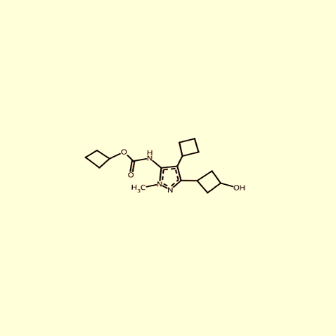 Cn1nc(C2CC(O)C2)c(C2CCC2)c1NC(=O)OC1CCC1